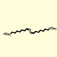 CCCCCCCCCCCCCCCC/C=N\N=C/CCCCCCCCCCCCCCCC